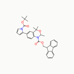 CC1OC(C)(C)c2cc(-c3cccn3C(=O)OC(C)(C)C)ccc2N1C(=O)OCC1c2ccccc2-c2ccccc21